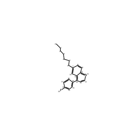 CCCCCCCc1ccc2nccc(-c3ccc(F)cc3)c2c1